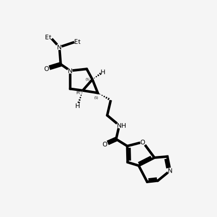 CCN(CC)C(=O)N1C[C@@H]2[C@@H](CCNC(=O)c3cc4ccncc4o3)[C@@H]2C1